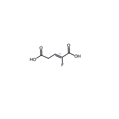 O=C(O)C/C=C(\F)C(=O)O